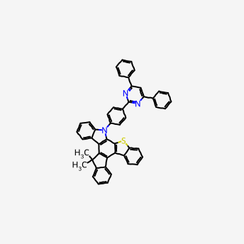 CC1(C)c2ccccc2-c2c1c1c3ccccc3n(-c3ccc(-c4nc(-c5ccccc5)cc(-c5ccccc5)n4)cc3)c1c1sc3ccccc3c21